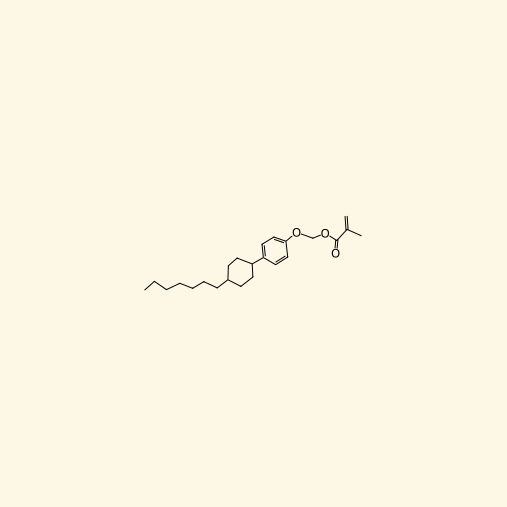 C=C(C)C(=O)OCOc1ccc(C2CCC(CCCCCCC)CC2)cc1